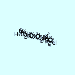 CCn1c(C(=O)Nc2ccc(N3CCN(C(=O)CC(C)(C)C(=O)O)CC3)cc2)cc2c(Cl)c(Cl)ccc21